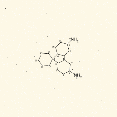 NC1CCC(C2(C3CCC(N)CC3)CCCCC2)CC1